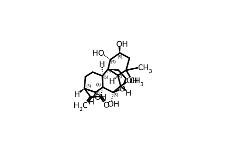 C=C1C(=O)[C@]23[C@H](O)[C@H]1CC[C@H]2[C@@]12CCO[C@]3(O)[C@@H](O)[C@@H]1C(C)(C)C[C@H](O)[C@H]2O